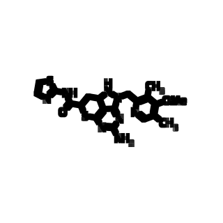 COc1c(C)cnc(CN2NC3CC(C(=O)Nc4nccs4)Sc4nc(N)nc2c43)c1C